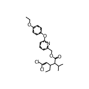 CCOc1ccc(Oc2cccc(COC(=O)C(C(C)C)C(C=C(Cl)Cl)CC)n2)cc1